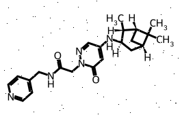 C[C@@H]1[C@H]2C[C@@H](C[C@H]1Nc1cnn(CC(=O)NCc3ccncc3)c(=O)c1)C2(C)C